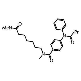 CNC(=O)CCCCCCN(C)C(=O)c1ccc(N(C(=O)C(C)C)c2ccccc2)cc1